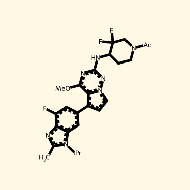 COc1nc(NC2CCN(C(C)=O)CC2(F)F)nn2ccc(-c3cc(F)c4nc(C)n(C(C)C)c4c3)c12